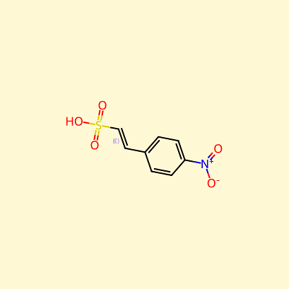 O=[N+]([O-])c1ccc(/C=C/S(=O)(=O)O)cc1